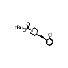 CC(C)(C)OC(=O)N1CCC(C#Cc2ccccc2Cl)CC1